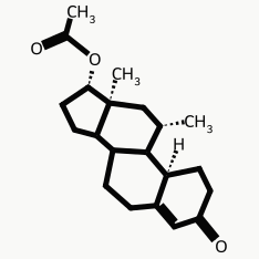 CC(=O)O[C@H]1CCC2C3CCC4=CC(=O)CC[C@@H]4C3[C@@H](C)C[C@@]21C